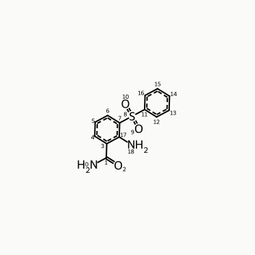 NC(=O)c1cccc(S(=O)(=O)c2ccccc2)c1N